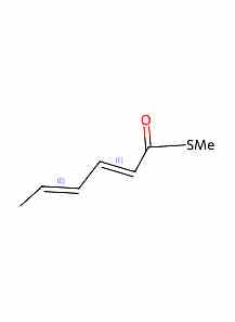 C/C=C/C=C/C(=O)SC